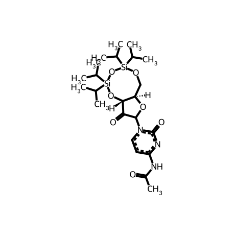 CC(=O)Nc1ccn(C2O[C@@H]3CO[Si](C(C)C)(C(C)C)O[Si](C(C)C)(C(C)C)O[C@H]3C2=O)c(=O)n1